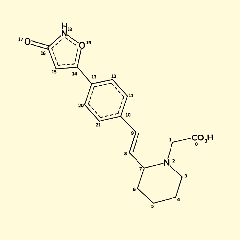 O=C(O)CN1CCCCC1C=Cc1ccc(-c2cc(=O)[nH]o2)cc1